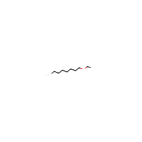 CCCCCCCCCCCCCOC[C]=O